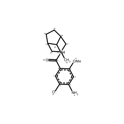 COc1cc(N)c(Cl)cc1C(=O)NC1C2CCC1CN(C)C2